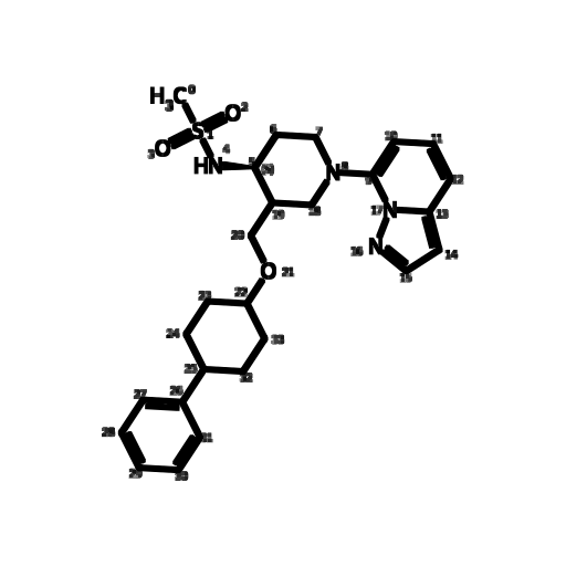 CS(=O)(=O)N[C@H]1CCN(c2cccc3ccnn23)CC1COC1CCC(c2ccccc2)CC1